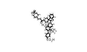 CC1(C)C(c2ccc(C(=O)O)cc2)=CC[C@]2(C)CN(C(=O)C3(c4ccccc4)CCN(C(=O)CCN4CCS(=O)(=O)CC4)CC3)CC=C12